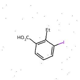 CCc1c(I)cccc1C(=O)O